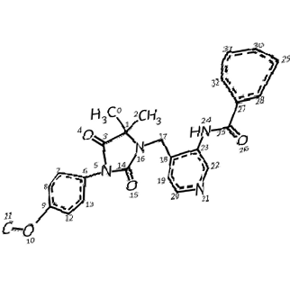 CC1(C)C(=O)N(c2ccc(OC(F)(F)F)cc2)C(=O)N1Cc1ccncc1NC(=O)c1ccccc1